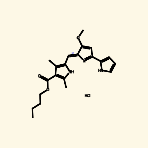 CCCCOC(=O)c1c(C)[nH]c(/C=C2\N=C(c3ccc[nH]3)C=C2OC)c1C.Cl